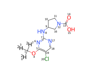 [2H]C([2H])([2H])Oc1nc(NC2CCN(C(=O)O)C2)ncc1Cl